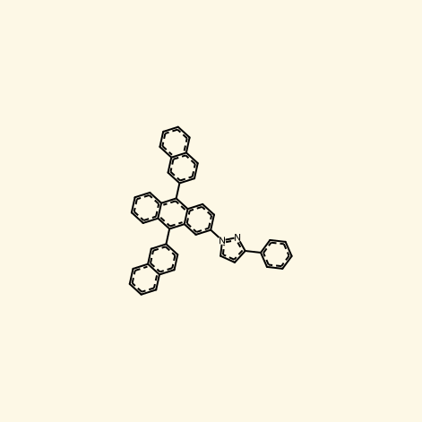 c1ccc(-c2ccn(-c3ccc4c(-c5ccc6ccccc6c5)c5ccccc5c(-c5ccc6ccccc6c5)c4c3)n2)cc1